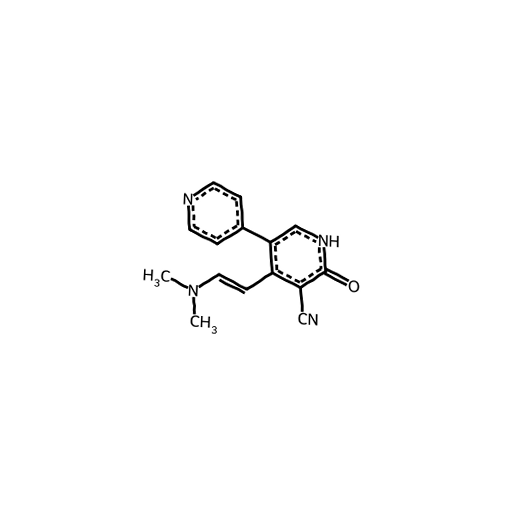 CN(C)C=Cc1c(-c2ccncc2)c[nH]c(=O)c1C#N